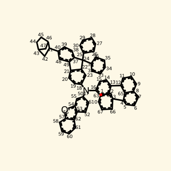 c1ccc(-c2cccc3cccc(-c4ccc(N(c5ccc6c(c5)C(c5ccccc5)(c5ccccc5)c5ccc(C7CC8CCC7C8)cc5-6)c5ccc6c(c5)oc5ccccc56)cc4)c23)cc1